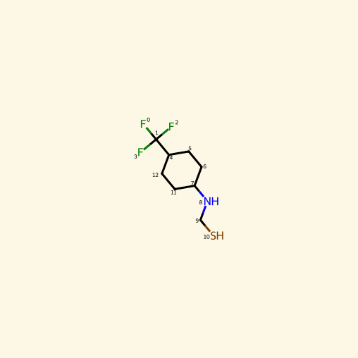 FC(F)(F)C1CCC(NCS)CC1